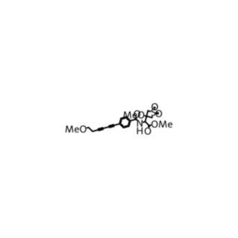 COCCC#CC#Cc1ccc(C(=O)NC(C(=O)OC)C2(OC)CS(=O)(=O)C2)cc1